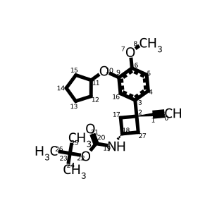 C#C[C@]1(c2ccc(OC)c(OC3CCCC3)c2)C[C@@H](NC(=O)OC(C)(C)C)C1